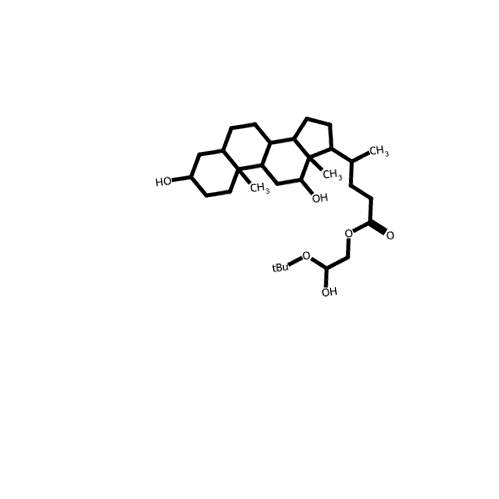 CC(CCC(=O)OCC(O)OC(C)(C)C)C1CCC2C3CCC4CC(O)CCC4(C)C3CC(O)C12C